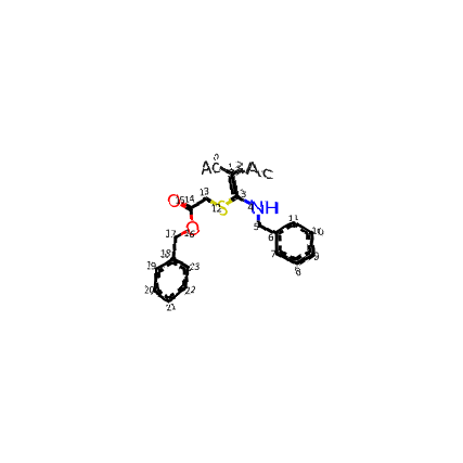 CC(=O)C(C(C)=O)=C(NCc1ccccc1)SCC(=O)OCc1ccccc1